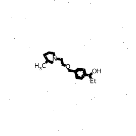 CCC(O)c1ccc(COCCN2CCCC(C)C2)cc1